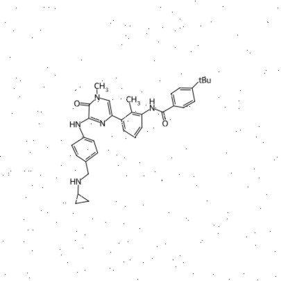 Cc1c(NC(=O)c2ccc(C(C)(C)C)cc2)cccc1-c1cn(C)c(=O)c(Nc2ccc(CNC3CC3)cc2)n1